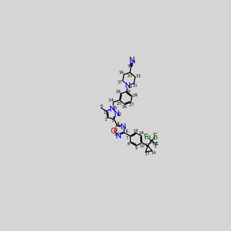 Cc1cc(-c2nc(-c3ccc(C4(C(F)(F)F)CC4)cc3)no2)nn1Cc1cccc(N2CCC(C#N)CC2)c1